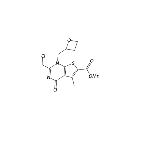 COC(=O)c1sc2c(c1C)c(=O)nc(CCl)n2CC1CCO1